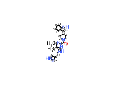 Cc1nc(C(=O)N2CCC(c3c[nH]c4ccccc34)CC2)nc(NCCc2cn[nH]c2)c1C